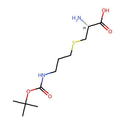 CC(C)(C)OC(=O)NCCCSC[C@H](N)C(=O)O